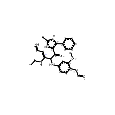 CCN/C(=C\C=N)C(Nc1ccc(NC=O)c(OC)c1)C(=O)c1nc(C)oc1-c1ccccc1